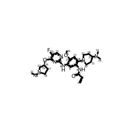 C=CC(=O)Nc1cc(Nc2ncc(F)c(O[C@H]3CCN(SC)C3)n2)c(OC)cc1N1CCC(N(C)C)CC1